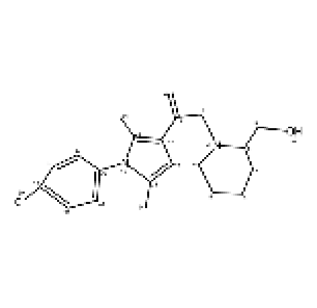 C=C(CN1CCCCC1CO)c1cc(C)n(-c2ccc(Cl)cc2)c1C